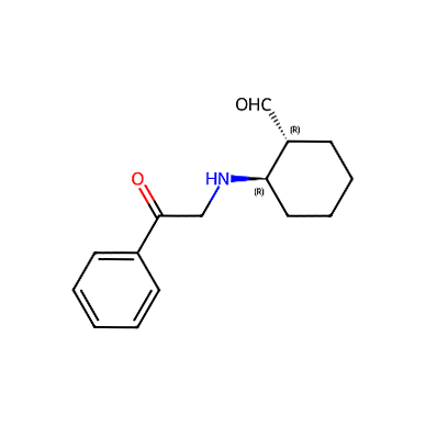 O=C[C@@H]1CCCC[C@H]1NCC(=O)c1ccccc1